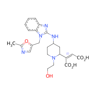 Cc1ncc(Cn2c(NC3CCN(CCO)C(/C(=C/C(=O)O)C(=O)O)C3)nc3ccccc32)o1